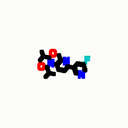 Cc1nc(-c2cncc(F)c2)ccc1N(C(=O)C(C)C)C(=O)C(C)C